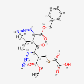 COC(=O)[C@H](CSC(=O)C(=O)O)C(N=[N+]=[N-])C(=O)[C@@H](C(C)C)C(N=[N+]=[N-])C(=O)OCc1ccccc1